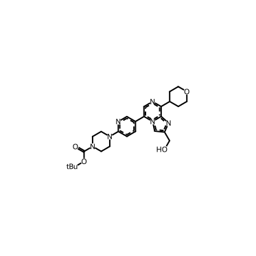 CC(C)(C)OC(=O)N1CCN(c2ccc(-c3cnc(C4CCOCC4)c4nc(CO)cn34)cn2)CC1